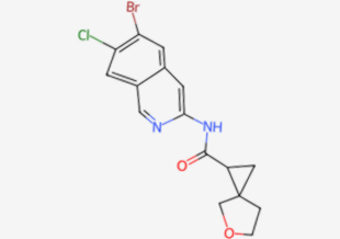 O=C(Nc1cc2cc(Br)c(Cl)cc2cn1)C1CC12CCOC2